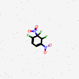 O=[N+]([O-])C1=CC=C(F)C(F)([N+](=O)[O-])C1F